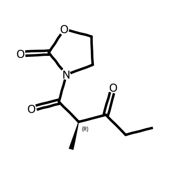 CCC(=O)[C@@H](C)C(=O)N1CCOC1=O